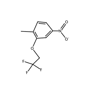 Cc1ccc([N+](=O)[O-])cc1OCC(F)(F)F